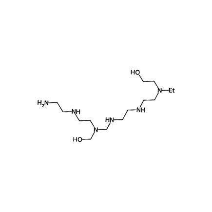 CCN(CCO)CCNCCNCN(CO)CCNCCN